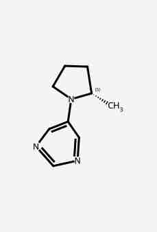 C[C@H]1CCCN1c1cncnc1